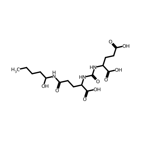 CCCCC(O)NC(=O)CCC(NC(=O)NC(CCC(=O)O)C(=O)O)C(=O)O